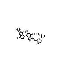 C=CC(=O)N1CCN(C)C(CCn2ncc3c(-c4ccc(F)c5sc(N)c(C#N)c45)c(F)cc(C=O)c32)C1